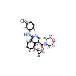 O=C(c1cnc(Nc2cccc(Cl)c2)c2cccc(C3CC3)c12)N1CCOCC1